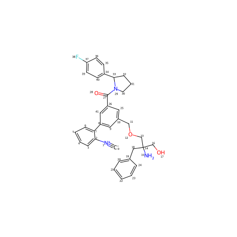 [C-]#[N+]c1ccccc1-c1cc(COCC(N)(CO)Cc2ccccc2)cc(C(=O)N2CCCC2c2ccc(F)cc2)c1